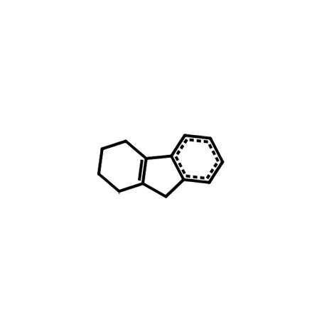 [CH]1CCCC2=C1Cc1ccccc12